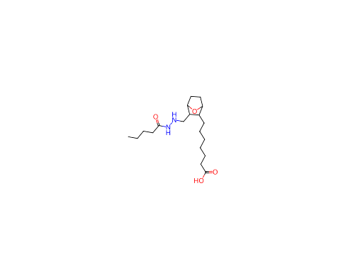 CCCCC(=O)NNCC1C2CCC(O2)C1CCCCCCC(=O)O